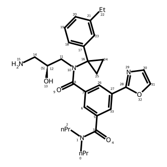 CCCN(CCC)C(=O)c1cc(C(=O)N(C[C@@H](O)CN)C2(c3cccc(CC)c3)CC2)cc(-c2ncco2)c1